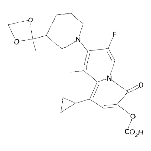 Cc1c(N2CCCC(C3(C)OCO3)C2)c(F)cn2c(=O)c(OC(=O)O)cc(C3CC3)c12